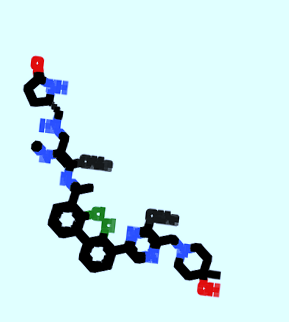 C=N/C(CNC[C@@H]1CCC(=O)N1)=C(\N=C(/C)c1cccc(-c2cccc(-c3cnc(CN4CCC(C)(O)CC4)c(OC)n3)c2Cl)c1Cl)OC